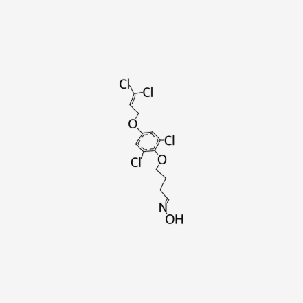 ON=CCCCOc1c(Cl)cc(OCC=C(Cl)Cl)cc1Cl